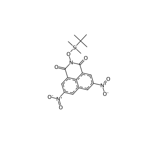 CC(C)(C)[Si](C)(C)ON1C(=O)c2cc([N+](=O)[O-])cc3cc([N+](=O)[O-])cc(c23)C1=O